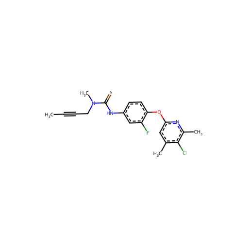 CC#CCN(C)C(=S)Nc1ccc(Oc2cc(C)c(Cl)c(C)n2)c(F)c1